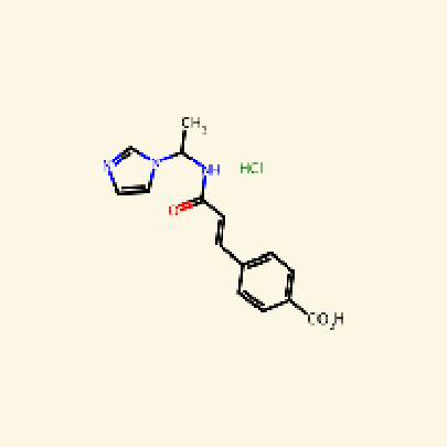 CC(NC(=O)C=Cc1ccc(C(=O)O)cc1)n1ccnc1.Cl